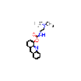 CN(C)CCNC(=O)Oc1cccc2cc3ccccc3nc12